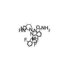 NC(=O)c1cccc2c(NCc3c(F)cccc3C(F)(F)F)nc(N3CCCc4cn[nH]c4C3)nc12